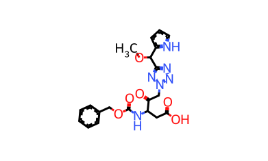 COC(c1nnn(CC(=O)C(CC(=O)O)NC(=O)OCc2ccccc2)n1)c1ccc[nH]1